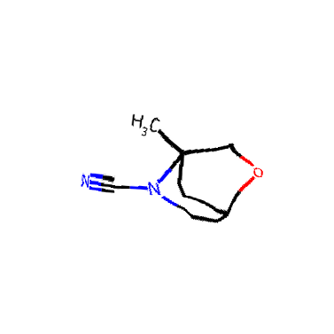 CC12COC(CN1C#N)C2